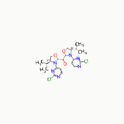 CC(C)[C@H]1COC(C(=O)C2OC[C@H](C(C)C)N2c2ccnc(Cl)n2)N1c1ccnc(Cl)n1